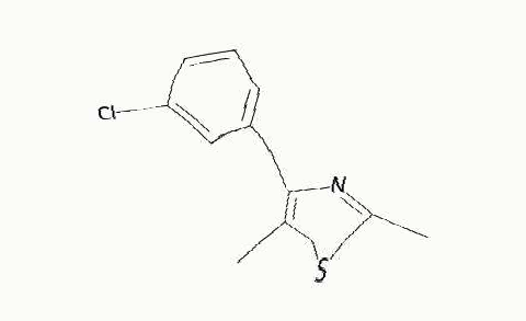 Cc1nc(-c2cccc(Cl)c2)c(C)s1